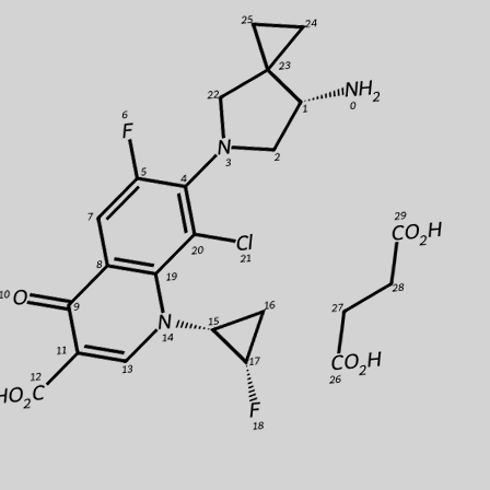 N[C@@H]1CN(c2c(F)cc3c(=O)c(C(=O)O)cn([C@@H]4C[C@@H]4F)c3c2Cl)CC12CC2.O=C(O)CCC(=O)O